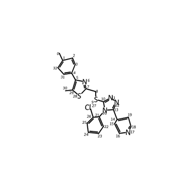 Cc1ccc(-c2nc(CSc3nnc(-c4ccncc4)n3-c3ccccc3Cl)sc2C)cc1